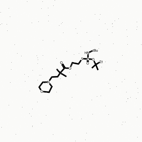 CCC(C)(C)OP(=O)(NC(C)(C)C)SCCOC(=O)C(C)(C)CCN1CCOCC1